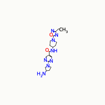 CCc1noc(N2CCC(NC(=O)c3cnc(N4CC[C@@H](N)C4)nc3)CC2)n1